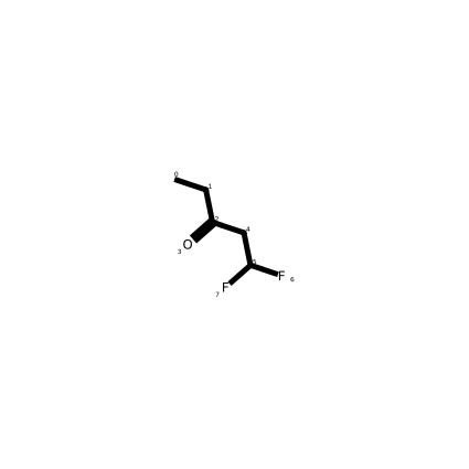 CCC(=O)CC(F)F